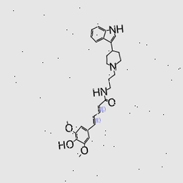 COc1cc(/C=C/C=C/C(=O)NCCCN2CCC(c3c[nH]c4ccccc34)CC2)cc(OC)c1O